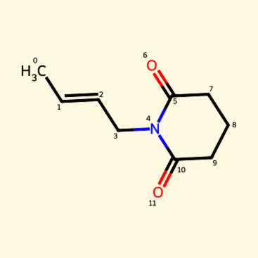 CC=CCN1C(=O)CCCC1=O